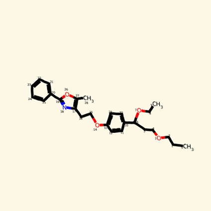 CCCOCCC(OCC)c1ccc(OCCc2nc(-c3ccccc3)oc2C)cc1